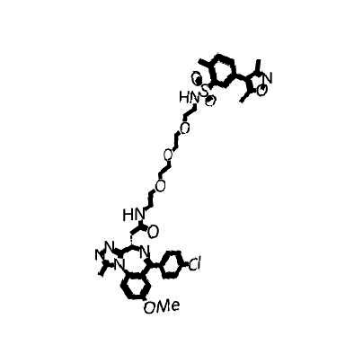 COc1ccc2c(c1)C(c1ccc(Cl)cc1)=N[C@@H](CC(=O)NCCOCCOCCOCCNS(=O)(=O)c1cc(-c3c(C)noc3C)ccc1C)c1nnc(C)n1-2